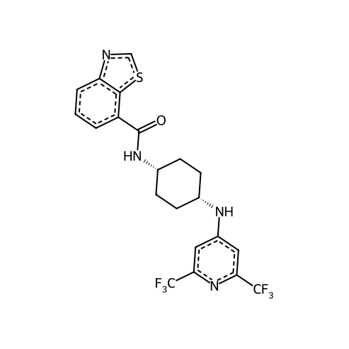 O=C(N[C@H]1CC[C@@H](Nc2cc(C(F)(F)F)nc(C(F)(F)F)c2)CC1)c1cccc2ncsc12